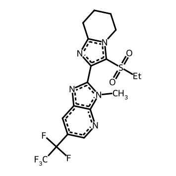 CCS(=O)(=O)c1c(-c2nc3cc(C(F)(F)C(F)(F)F)cnc3n2C)nc2n1CCCC2